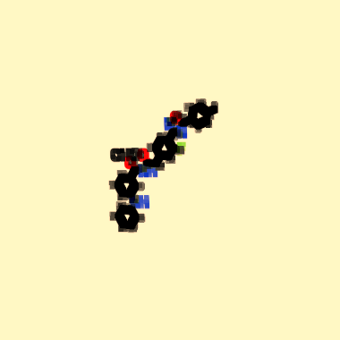 Cc1ccc(-c2nc(-c3ccc(CC(NC(=O)c4cccc(Nc5ccccc5)c4)OC=O)cc3F)no2)cc1